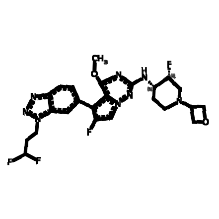 COc1nc(N[C@H]2CCN(C3COC3)C[C@H]2F)nn2cc(F)c(-c3ccc4nnn(CCC(F)F)c4c3)c12